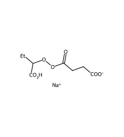 CCC(OOC(=O)CCC(=O)[O-])C(=O)O.[Na+]